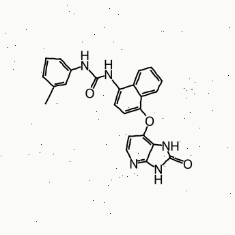 Cc1cccc(NC(=O)Nc2ccc(Oc3ccnc4[nH]c(=O)[nH]c34)c3ccccc23)c1